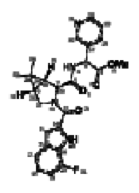 COC(=O)C(NC(=O)[C@@H]1[C@@H]2[C@H](CN1C(=O)c1cc3cccc(F)c3[nH]1)C2(C)C)c1cccnc1